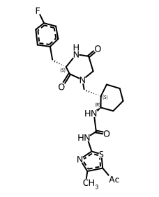 CC(=O)c1sc(NC(=O)N[C@@H]2CCCC[C@H]2CN2CC(=O)N[C@@H](Cc3ccc(F)cc3)C2=O)nc1C